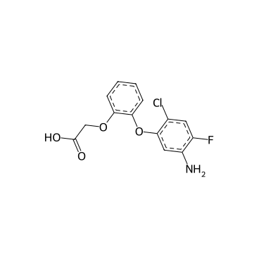 Nc1cc(Oc2ccccc2OCC(=O)O)c(Cl)cc1F